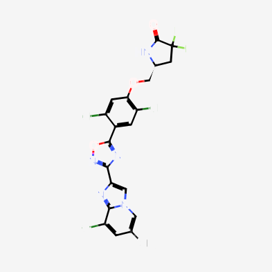 O=C1N[C@H](COc2cc(Cl)c(-c3nc(-c4cn5cc(C(F)(F)F)cc(Cl)c5n4)no3)cc2Cl)CC1(F)F